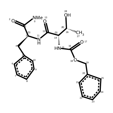 CNC(=O)[C@H](Cc1ccccc1)NC(=O)[C@@H](NC(=O)OCc1ccccc1)[C@@H](C)O